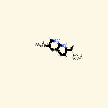 COc1cnc2nc([C@H](C)C(=O)O)ccc2c1